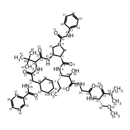 CCC[C@H](NC(=O)[C@@H]1CN(C(=O)Nc2ccccc2)C[C@@H]1NC(=O)[C@@H](NC(=O)[C@@H](NC(=O)c1cnccn1)C1CCCCC1)C(C)(C)C)C(O)C(=O)NCC(=O)N[C@@H](COC)C(=O)N(C)C